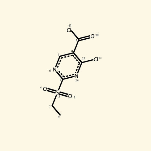 CCS(=O)(=O)c1ncc(C(=O)Cl)c(Cl)n1